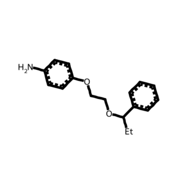 CCC(OCCOc1ccc(N)cc1)c1ccccc1